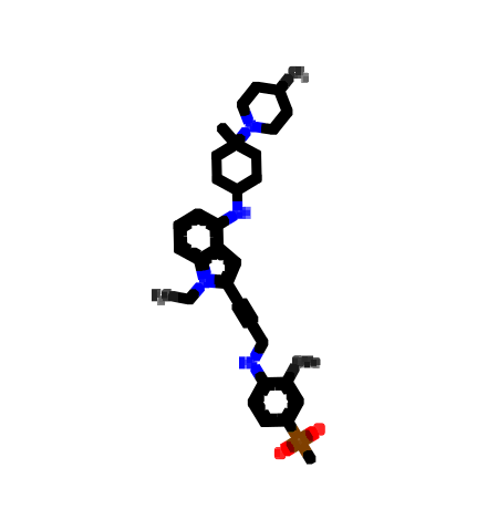 COc1cc(S(C)(=O)=O)ccc1NCC#Cc1cc2c(NC3CCC(C)(N4CCC(C(F)(F)F)CC4)CC3)cccc2n1CC(F)(F)F